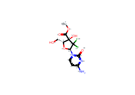 CC(C)(C)OC(=O)[C@@]1(O)[C@@H](CO)O[C@H](n2ccc(N)nc2=O)C1(F)F